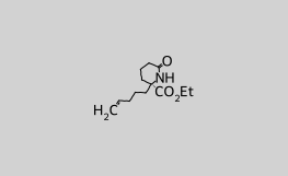 C=CCCC[C@@]1(C(=O)OCC)CCCC(=O)N1